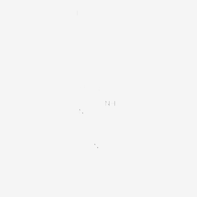 O=C(Cc1ccc(F)cc1)Nc1ncc(-c2ccccc2)nc1Cc1ccccc1